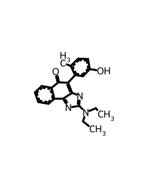 CCN(CC)C1=NC2=C(c3cc(O)ccc3C)C(=O)c3ccccc3C2=N1